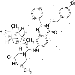 C[C@@H]1[C@@H](N=C(Nc2ccc3c(=O)n(CCc4ccc(Br)cc4)c(-c4cnccn4)nc3c2)N2CC(=O)N[C@@H](C)C2)C[C@H]2C[C@@H]1C2(C)C